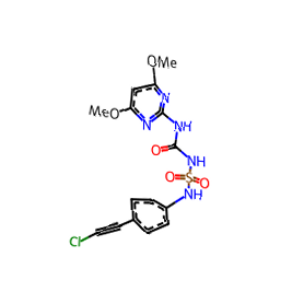 COc1cc(OC)nc(NC(=O)NS(=O)(=O)Nc2ccc(C#CCl)cc2)n1